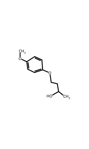 COc1ccc(OCCC(C)O)cc1